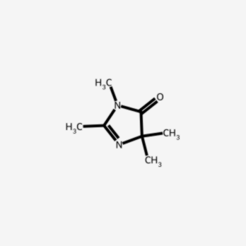 CC1=NC(C)(C)C(=O)N1C